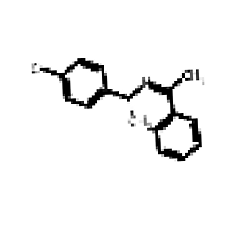 C/C(=N/[C@H](C)c1ccc(Cl)cc1)c1ccccc1